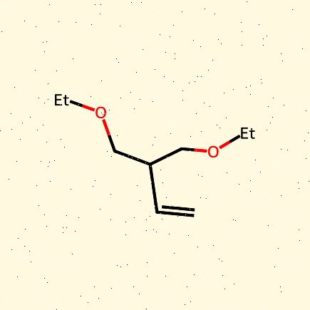 C=CC(COCC)COCC